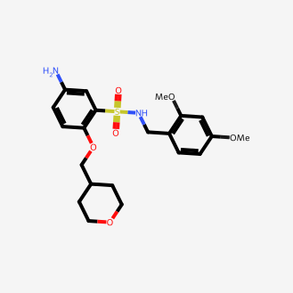 COc1ccc(CNS(=O)(=O)c2cc(N)ccc2OCC2CCOCC2)c(OC)c1